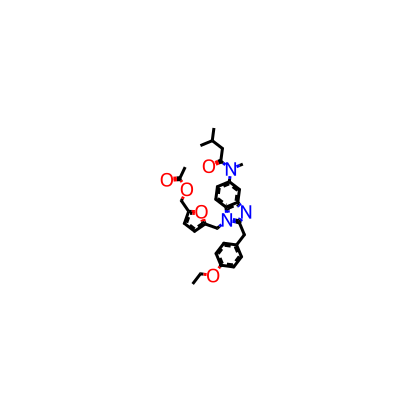 CCOc1ccc(Cc2nc3cc(N(C)C(=O)CC(C)C)ccc3n2Cc2ccc(COC(C)=O)o2)cc1